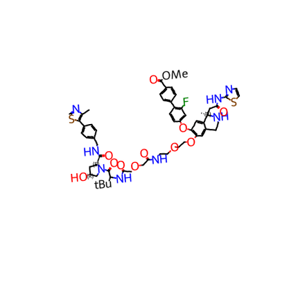 COC(=O)c1ccc(-c2ccc(Oc3cc4c(cc3OCCOCCNC(=O)COCC(=O)NC(C(=O)N3C[C@H](O)C[C@H]3C(=O)NCc3ccc(-c5scnc5C)cc3)C(C)(C)C)CCN[C@]4(C)CC(=O)Nc3nccs3)cc2F)cc1